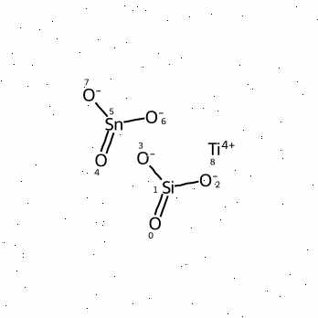 O=[Si]([O-])[O-].[O]=[Sn]([O-])[O-].[Ti+4]